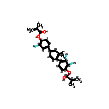 C=C(C)C(=O)Oc1ccc(-c2ccc(-c3ccc(OC(=O)C(=C)C)c(F)c3F)c(C)c2)cc1F